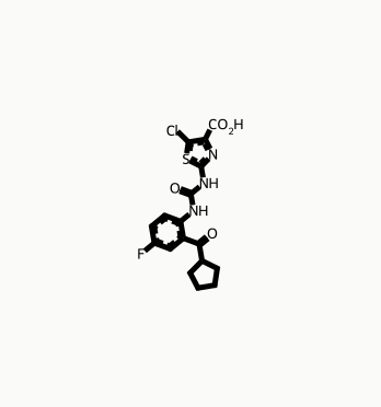 O=C(Nc1nc(C(=O)O)c(Cl)s1)Nc1ccc(F)cc1C(=O)C1CCCC1